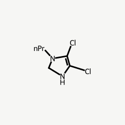 CCCN1CNC(Cl)=C1Cl